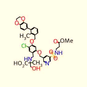 COC(=O)CCNS(=O)(=O)c1cncc(COc2cc(OCc3cccc(-c4ccc5c(c4)OCCO5)c3C)c(Cl)cc2CNC(C)(CO)C(=O)O)c1